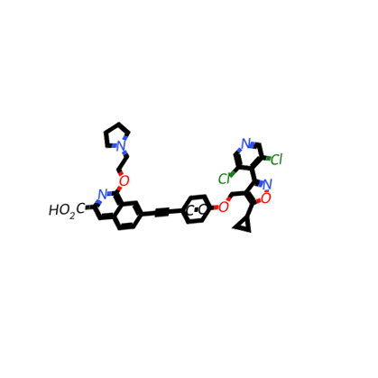 O=C(O)c1cc2ccc(C#CC34CCC(OCc5c(-c6c(Cl)cncc6Cl)noc5C5CC5)(CC3)CC4)cc2c(OCCN2CCCC2)n1